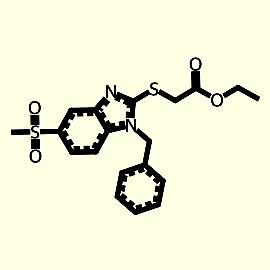 CCOC(=O)CSc1nc2cc(S(C)(=O)=O)ccc2n1Cc1ccccc1